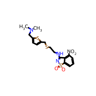 CN(C)Cc1ccc(CSCCNC2=NS(=O)(=O)c3cccc([N+](=O)[O-])c32)s1